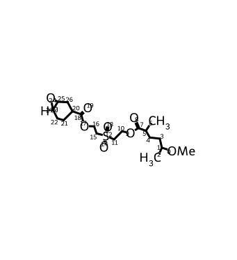 COC(C)CCC(C)C(=O)OCCS(=O)(=O)CCOC(=O)C1CC[C@@H]2OC2C1